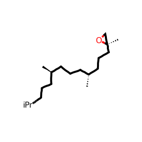 CC(C)CCC[C@@H](C)CCC[C@@H](C)CCC[C@]1(C)CO1